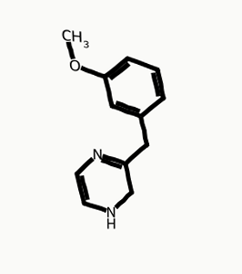 COc1cccc(CC2=NC=CNC2)c1